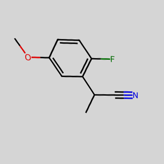 COc1ccc(F)c(C(C)C#N)c1